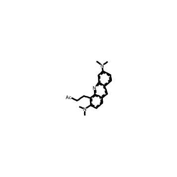 CC(=O)CCc1c(N(C)C)ccc2cc3ccc(N(C)C)cc3nc12